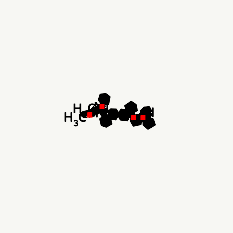 C=C(/C=C\C=C/C)c1nc(-c2ccccc2)nc(-n2c3ccccc3c3cc(-c4ccc5c(c4)c4ccccc4n5-c4cccc(-n5c6ccccc6c6ncccc65)c4)ccc32)n1